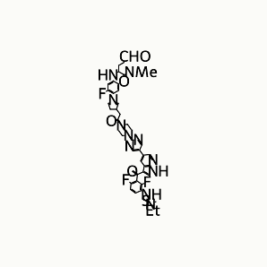 CCN(C)SNc1ccc(F)c(C(=O)c2c[nH]c3ncc(-c4cnc(N5CCN(C(=O)CC6CCN(c7ccc(NC(CCC=O)C(=O)NC)cc7F)C6)CC5)nc4)cc23)c1F